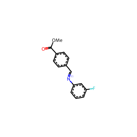 COC(=O)c1ccc(/C=N/c2cccc(F)c2)cc1